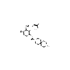 COC1C(OC(=O)N2CCC3(CCN(C)CC3)CC2)CCC2(CO2)C1[C@@]1(C)O[C@@H]1CC=C(C)C